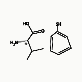 CC(C)[C@H](N)C(=O)O.Sc1ccccc1